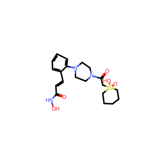 O=C(/C=C/c1ccccc1N1CCN(C(=O)CS2(=O)(O)CCCCC2)CC1)NO